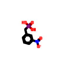 O=[N+]([O-])c1cccc(CP(=O)(O)O)c1